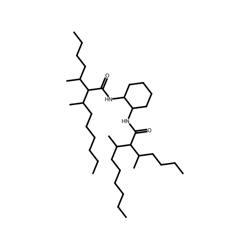 CCCCCCC(C)C(C(=O)NC1CCCCC1NC(=O)C(C(C)CCCC)C(C)CCCCCC)C(C)CCCC